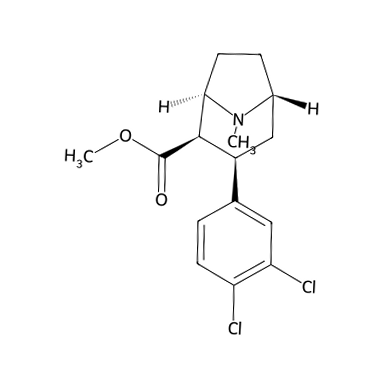 COC(=O)[C@H]1[C@H]2CC[C@H](C[C@H]1c1ccc(Cl)c(Cl)c1)N2C